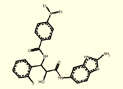 CCN(CC)c1ccc(C(=O)NC(c2ccccc2F)C(O)C(=O)Nc2ccc3nc(N)[nH]c3c2)cc1